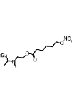 CCCCC(C)N(C)CCOC(=O)CCCCCO[N+](=O)[O-]